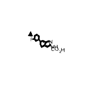 C1CC1.O=C(O)Nc1cc2ccc(-c3cccc(F)c3)cc2cn1